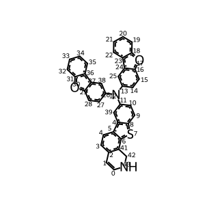 C1=Cc2ccc3c(sc4ccc(N(c5ccc6oc7ccccc7c6c5)c5ccc6oc7ccccc7c6c5)cc43)c2CN1